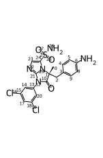 C[C@@]1(Cc2ccc(N)cc2)C(=O)N(c2cc(Cl)cc(Cl)c2)c2ncc(S(N)(=O)=O)n21